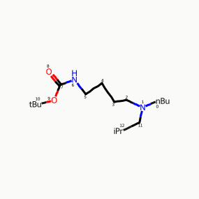 CCCCN(CCCCNC(=O)OC(C)(C)C)CC(C)C